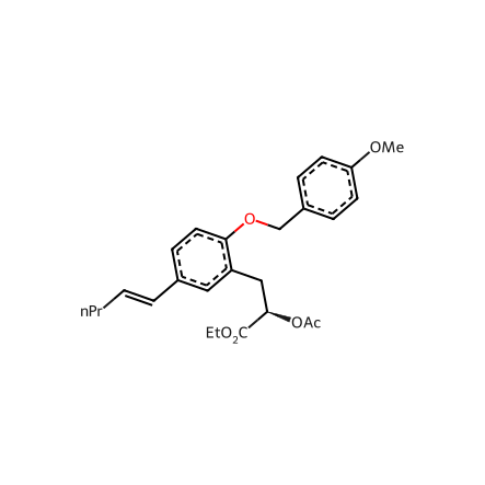 CCC/C=C/c1ccc(OCc2ccc(OC)cc2)c(C[C@@H](OC(C)=O)C(=O)OCC)c1